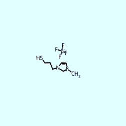 CN1C=CN(CCCS)C1.F[B-](F)(F)F